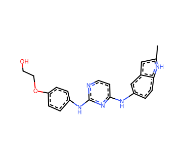 Cc1cc2cc(Nc3ccnc(Nc4ccc(OCCO)cc4)n3)ccc2[nH]1